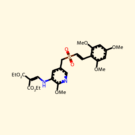 CCOC(=O)C(=CNc1cc(CS(=O)(=O)C=Cc2c(OC)cc(OC)cc2OC)cnc1OC)C(=O)OCC